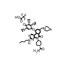 CCCCNc1ncc2c3ccc(CN4CCN(C)CC4)cc3c(=O)n([C@H]3CC[C@H](C(N)=O)CC3)c2n1.O=C(O)C(F)(F)F.O=C1C=C(N2CC2)C(=O)C(N2CC2)=C1N1CC1